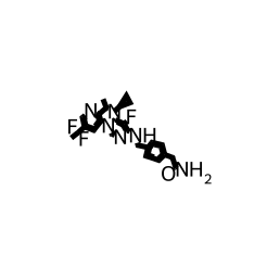 CC(c1ccc(C(C)(F)F)cn1)N(c1ncnc(NCc2ccc(CC(N)=O)cc2)c1F)C1CC1